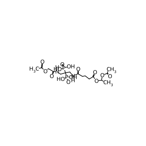 CC(=O)OCC(=O)NCC(CNC(=O)CCCC(=O)OC(C)OC(C)=O)(P(=O)(O)O)P(=O)(O)O